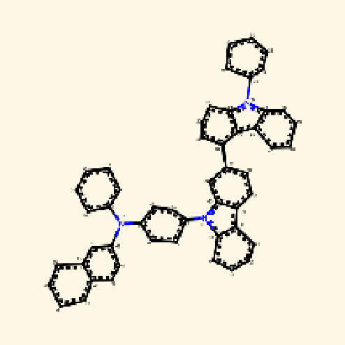 c1ccc(N(c2ccc(-n3c4ccccc4c4ccc(-c5cccc6c5c5ccccc5n6-c5ccccc5)cc43)cc2)c2ccc3ccccc3c2)cc1